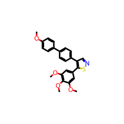 COc1ccc(-c2ccc(-c3cnsc3-c3cc(OC)c(OC)c(OC)c3)cc2)cc1